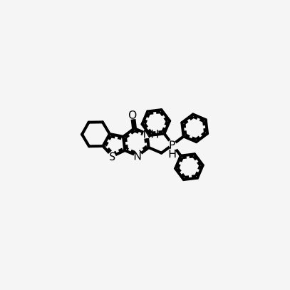 O=c1[nH]c(C[PH](c2ccccc2)(c2ccccc2)c2ccccc2)nc2sc3c(c12)CCCC3